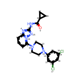 O=C(Nc1nc2cccc(N3CCN(c4cc(Cl)cc(Cl)c4)CC3)n2n1)C1CC1